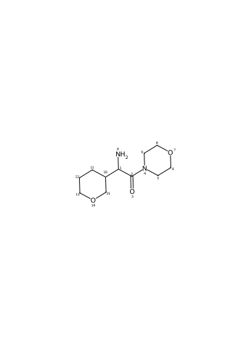 NC(C(=O)N1CCOCC1)C1CCCOC1